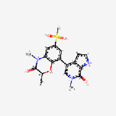 CCS(=O)(=O)c1cc(-c2cn(C)c(=O)c3[nH]ccc23)c2c(c1)N(C)C(=O)C(C(C)C)O2